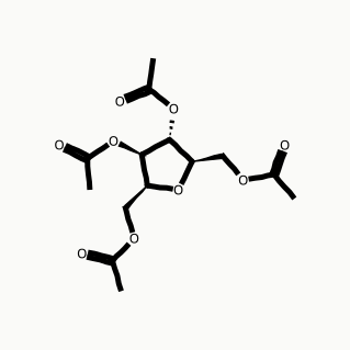 CC(=O)OC[C@@H]1O[C@H](COC(C)=O)[C@@H](OC(C)=O)[C@@H]1OC(C)=O